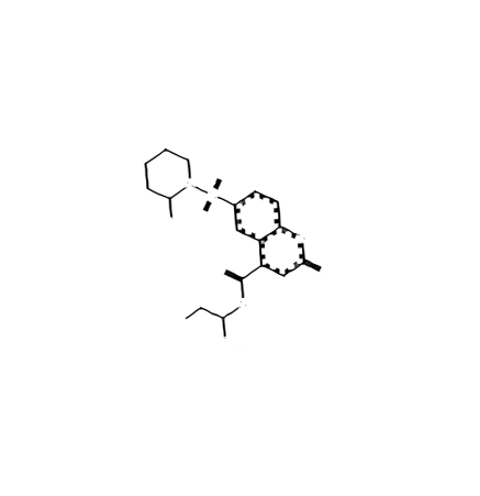 CCC(C)NC(=O)c1cc(=O)[nH]c2ccc(S(=O)(=O)N3CCCCC3C)cc12